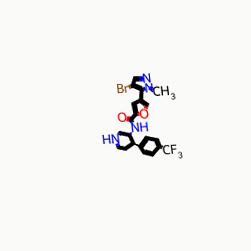 Cn1ncc(Br)c1-c1coc(C(=O)N[C@H]2CNCC[C@@H]2c2ccc(C(F)(F)F)cc2)c1